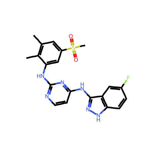 Cc1cc(S(C)(=O)=O)cc(Nc2nccc(Nc3n[nH]c4ccc(F)cc34)n2)c1C